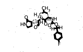 [2H]C([2H])(OC(=O)N[C@@H](CC(C)C)C(=O)N[C@H](C=O)C[C@@H]1CCNC1=O)c1ccc(F)cc1